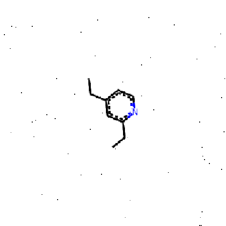 C[CH]c1cc(CC)ccn1